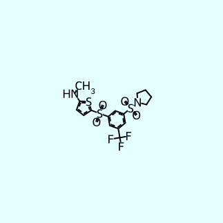 CNc1ccc(S(=O)(=O)c2cc(C(F)(F)F)cc(S(=O)(=O)N3CCCC3)c2)s1